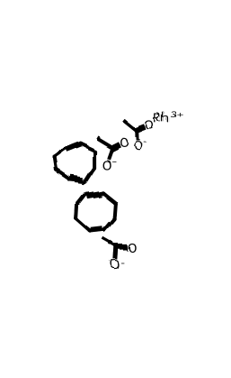 C1=C\CC/C=C\CC/1.C1=C\CC/C=C\CC/1.CC(=O)[O-].CC(=O)[O-].CC(=O)[O-].[Rh+3]